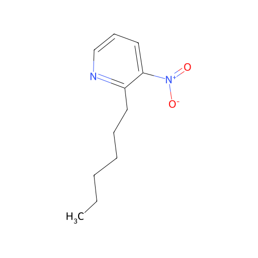 CCCCCCc1ncccc1[N+](=O)[O-]